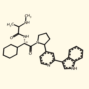 CNC(C)C(=O)N[C@H](C(=O)N1CCCC1c1ccnc(-c2c[nH]c3ccccc23)c1)C1CCCCC1